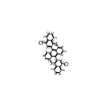 Clc1cc2c(sc3cccc4c3c2c2cccc3sc5c6ccccc6c(Cl)cc5c4c32)c2ccccc12